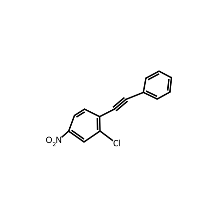 O=[N+]([O-])c1ccc(C#Cc2ccccc2)c(Cl)c1